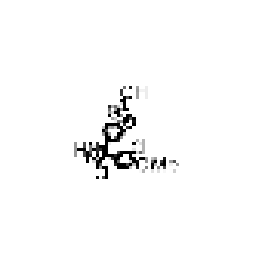 COc1ccc(-c2c(Cl)n[nH]c2-c2ccc(S(=O)(=O)CCO)cc2)cc1Cl